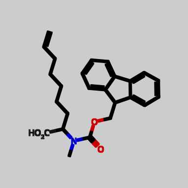 C=CCCCCCC(C(=O)O)N(C)C(=O)OCC1c2ccccc2-c2ccccc21